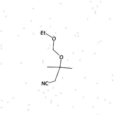 CCOCOC(C)(C)CC#N